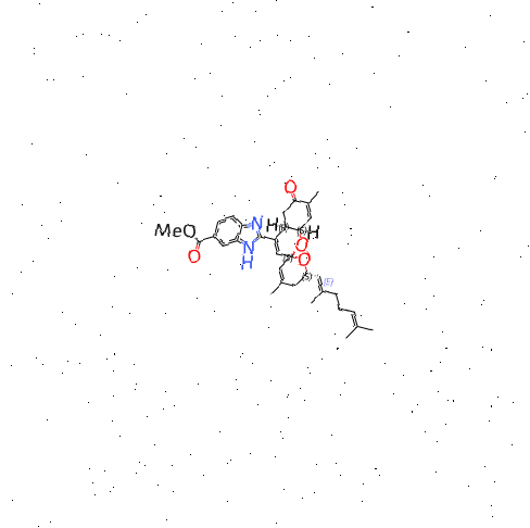 COC(=O)c1ccc2nc(C3=C[C@]4(C=C(C)C[C@@H](/C=C(\C)CCC=C(C)C)O4)O[C@@H]4C=C(C)C(=O)C[C@H]34)[nH]c2c1